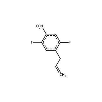 C=CCc1cc(F)c([N+](=O)[O-])cc1F